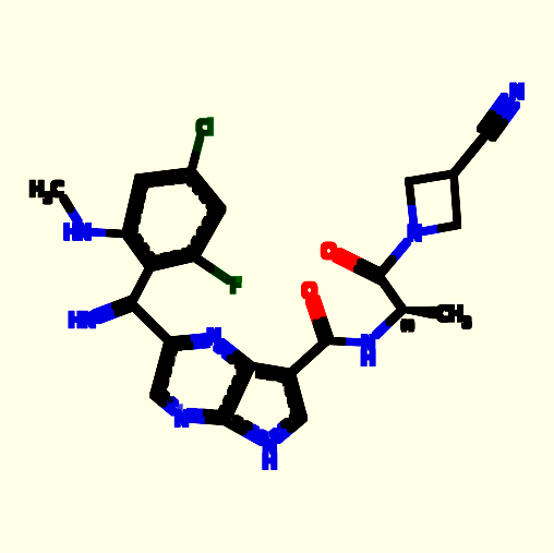 CNc1cc(Cl)cc(F)c1C(=N)c1cnc2[nH]cc(C(=O)N[C@H](C)C(=O)N3CC(C#N)C3)c2n1